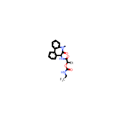 CCC(OC(=O)NCC(F)(F)F)C(=O)NC1C(=O)N(C)c2ccccc2-c2ccccc21